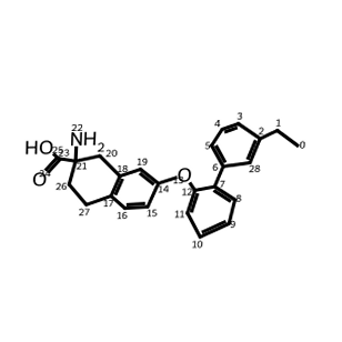 CCc1cccc(-c2ccccc2Oc2ccc3c(c2)CC(N)(C(=O)O)CC3)c1